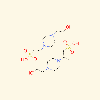 CC(CS(=O)(=O)O)N1CCN(CCO)CC1.O=S(=O)(O)CCN1CCN(CCO)CC1